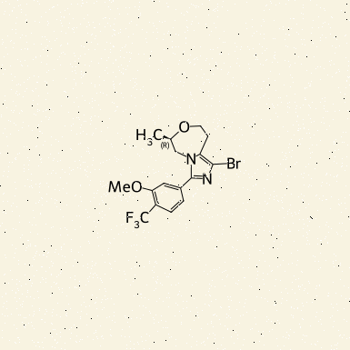 COc1cc(-c2nc(Br)c3n2C[C@@H](C)OCC3)ccc1C(F)(F)F